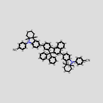 CC12CCCCC1(C)N(c1ccc(C#N)cc1)c1ccc(-c3ccc4c(c3)C(c3ccccc3)(c3ccccc3)c3cc(-c5ccc6c(c5)C5(C)CCCCC5(C)N6c5ccc(C#N)cc5)c5ccccc5c3-4)cc12